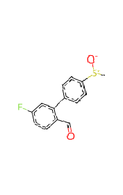 C[S+]([O-])c1ccc(-c2cc(F)ccc2C=O)cc1